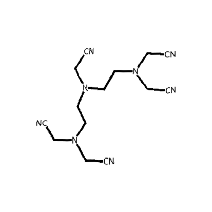 N#CCN(CC#N)CCN(CC#N)CCN(CC#N)CC#N